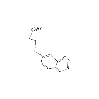 CC(=O)OCCCc1ccc2ccccc2c1